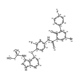 C[C@H](CO)Nc1n[nH]c2nccc(Oc3ccc(NC(=O)c4cc(Br)cn(-c5ccc(F)cc5)c4=O)cc3F)c12